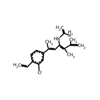 C=Cc1ccc(/C(C)=C/C(NC(=C)N)=C(\C)C(=C)C)cc1Cl